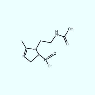 CC1=NCC([N+](=O)[O-])N1CCNC(=O)O